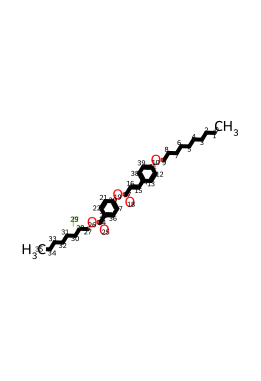 CCCCCCCCCCOc1ccc(/C=C/C(=O)Oc2ccc(C(=O)OCC(F)CCCCCC)cc2)cc1